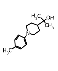 Cc1ccc(N2CCC(C(C)(C)O)CC2)cc1